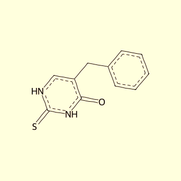 O=c1[nH]c(=S)[nH]cc1Cc1ccccc1